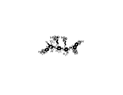 COc1cc(N=Nc2cc(OCCCS(=O)(=O)O)c(N=Nc3c(C)c(C#N)c4nc5cc(S(=O)(=O)O)c(OC)cc5n4c3O)cc2C)c(SCCCS(=O)(=O)O)cc1N=Nc1nc2c(S(=O)(=O)O)cc3cc(S(=O)(=O)O)ccc3c2s1